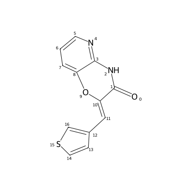 O=C1Nc2ncccc2O/C1=C\c1ccsc1